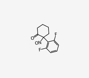 O=NC1(c2c(F)cccc2F)CCCCC1=O